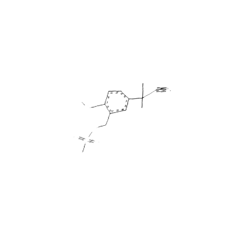 COc1ccc(C(C)(C)C#N)cc1COS(C)(=O)=O